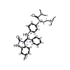 CC(C)C(=O)N(CCN(C)C)c1ccc(N/C(=C2\C(=O)Nc3cc(F)ccc32)c2ccccc2)cc1